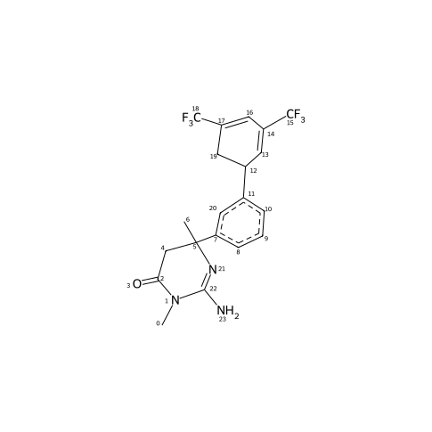 CN1C(=O)CC(C)(c2cccc(C3C=C(C(F)(F)F)C=C(C(F)(F)F)C3)c2)N=C1N